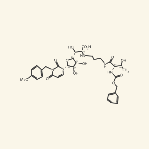 COc1ccc(Cn2c(=O)ccn([C@@H]3O[C@H](C(O)[C@H](NCCCNC(=O)[C@@H](NC(=O)OCc4ccccc4)[C@H](C)O)C(=O)O)[C@@H](O)[C@H]3O)c2=O)cc1